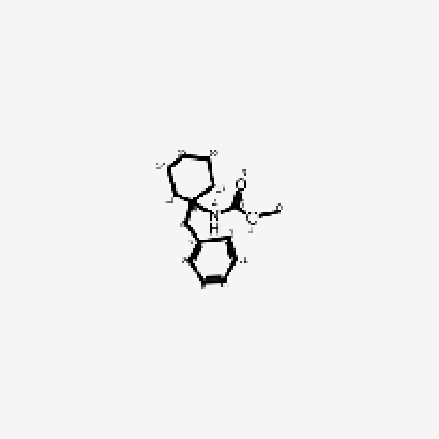 COC(=O)NC1(Cc2ccccc2)CCCCC1